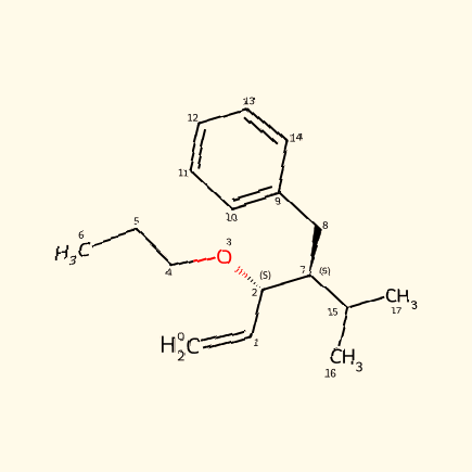 C=C[C@H](OCCC)[C@@H](Cc1ccccc1)C(C)C